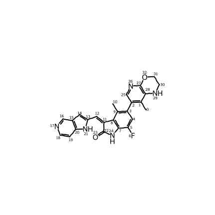 Cc1c(-c2cc(F)c3c(c2C)C(=Cc2cc4cnccc4[nH]2)C(=O)N3)cnc2c1NCCO2